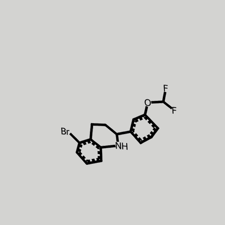 FC(F)Oc1cccc(C2CCc3c(Br)cccc3N2)c1